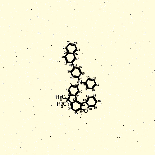 CC1(C)c2ccc(N(c3ccccc3)c3ccc(-c4ccc5ccccc5c4)cc3)cc2-c2c1ccc1oc3ccccc3c21